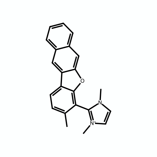 Cc1ccc2c(oc3cc4ccccc4cc32)c1-c1n(C)cc[n+]1C